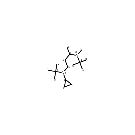 CC(CCN(C1CC1)C(C)(C)C)N(C)C(C)(C)C